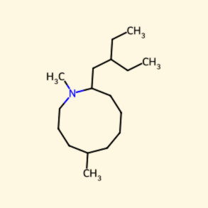 CCC(CC)CC1CCCCC(C)CCCN1C